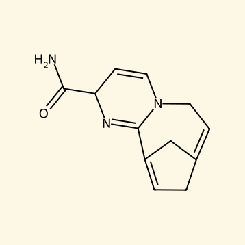 NC(=O)C1C=CN2CC=C3CC=C(C3)C2=N1